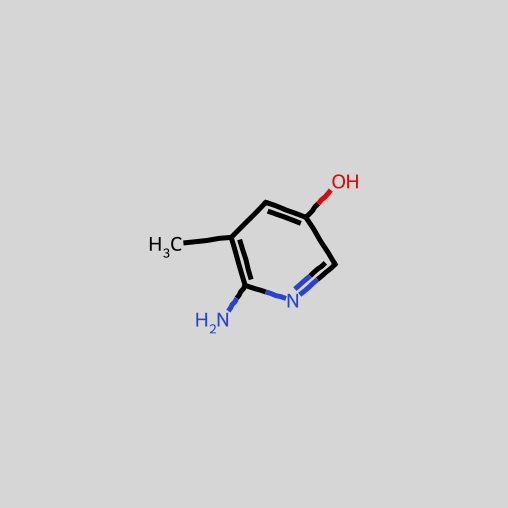 Cc1cc(O)cnc1N